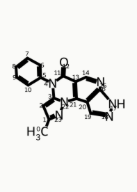 Cc1cc2n(-c3ccccc3)c(=O)c3cnc4[nH]ncc4c3n2n1